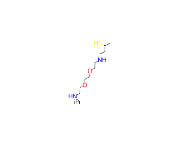 CC(S)CCNCCOCCOCCNC(C)C